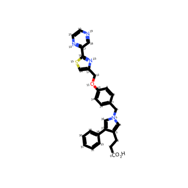 O=C(O)CCc1cn(Cc2ccc(OCc3csc(-c4cnccn4)n3)cc2)cc1-c1ccccc1